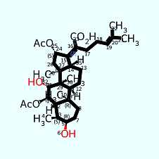 CC(=O)O[C@@H]1[C@H]2[C@H](C)[C@H](O)CC[C@]2(C)[C@@H]2CC[C@H]3/C(=C(\CCC=C(C)C)C(=O)O)[C@@H](OC(C)=O)C[C@]3(C)[C@@]2(C)[C@H]1O